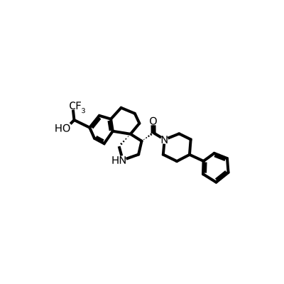 O=C([C@@H]1CNC[C@]12CCCc1cc(C(O)C(F)(F)F)ccc12)N1CCC(c2ccccc2)CC1